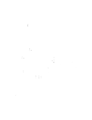 N#CCCCn1cnc2c(F)c(Nc3ccc(Br)cc3Cl)c(C(=O)NOCC3CC3)cc21